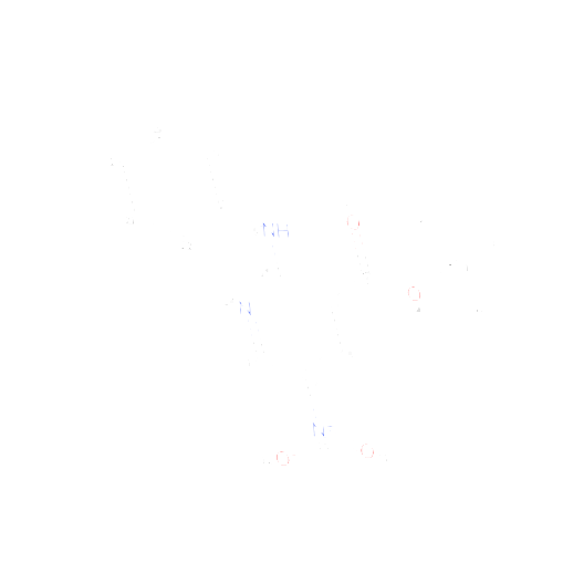 CC(C)(C)OC(=O)c1cc([N+](=O)[O-])cnc1NC1CCCCC1